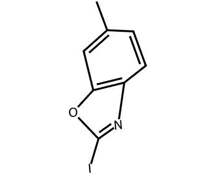 Cc1ccc2nc(I)oc2c1